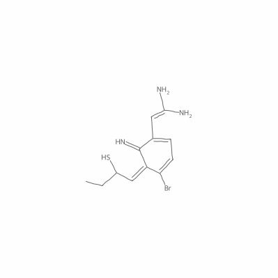 CCC(S)/C=C1\C(=N)C(C=C(N)N)=CC=C1Br